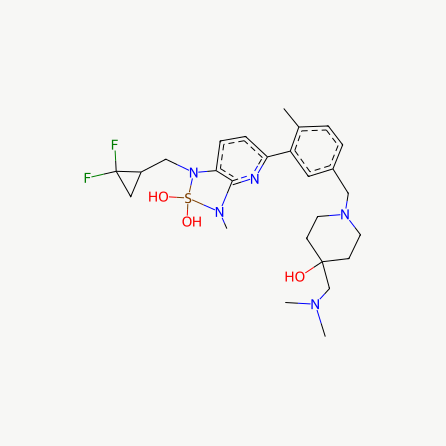 Cc1ccc(CN2CCC(O)(CN(C)C)CC2)cc1-c1ccc2c(n1)N(C)S(O)(O)N2CC1CC1(F)F